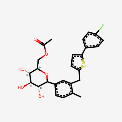 CC(=O)OC[C@H]1OC(c2ccc(C)c(Cc3ccc(-c4ccc(F)cc4)s3)c2)[C@H](O)[C@@H](O)[C@@H]1O